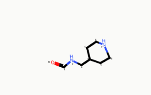 O=[C]NCC1CCNCC1